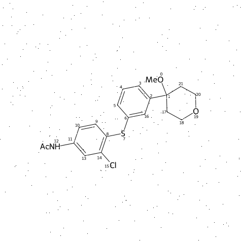 COC1(c2cccc(Sc3ccc(NC(C)=O)cc3Cl)c2)CCOCC1